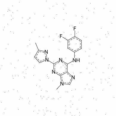 Cc1ccn(-c2nc(Nc3ccc(F)c(F)c3)c3ncn(C)c3n2)n1